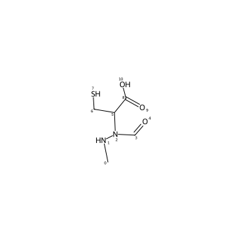 CNN(C=O)C(CS)C(=O)O